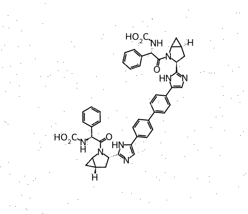 O=C(O)N[C@H](C(=O)N1C2C[C@H]2C[C@H]1c1ncc(-c2ccc(-c3ccc(-c4cnc([C@@H]5C[C@@H]6CC6N5C(=O)[C@@H](NC(=O)O)c5ccccc5)[nH]4)cc3)cc2)[nH]1)c1ccccc1